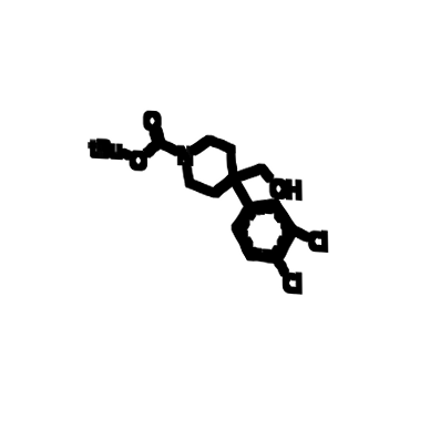 CC(C)(C)OC(=O)N1CCC(CO)(c2ccc(Cl)c(Cl)c2)CC1